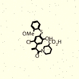 C=C(C(=O)N1CCCC(C(=O)O)C1)c1cc(O)c(Sc2ccccc2OC)cc1Cl